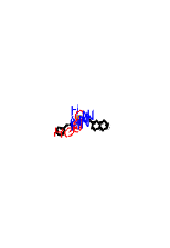 O=C(O)C(Cc1ccccc1)NS(=O)(=O)N1N=NC(c2ccc3ccccc3c2)N1